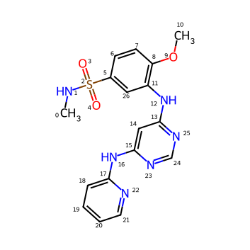 CNS(=O)(=O)c1ccc(OC)c(Nc2cc(Nc3ccccn3)ncn2)c1